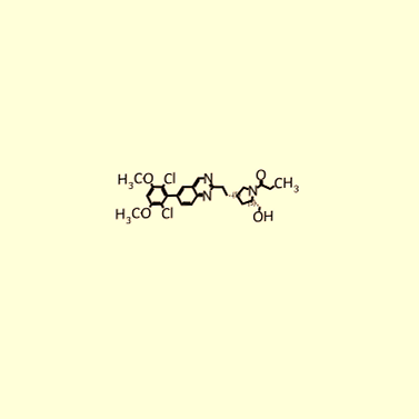 CCC(=O)N1C[C@@H](CCc2ncc3cc(-c4c(Cl)c(OC)cc(OC)c4Cl)ccc3n2)C[C@H]1CO